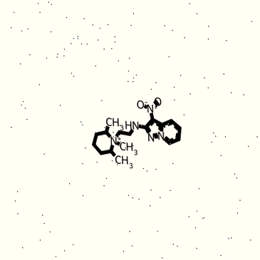 CC1CCCC(C)[N+]1(C)CCNc1nn2ccccc2c1[N+](=O)[O-]